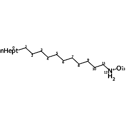 CCCCCCCCCCCCCCCCCC[NH2+][O-]